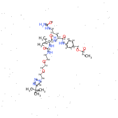 CCC(=O)OCc1ccc(NC(=O)[C@H](CCCNC(N)=O)NC(=O)[C@@H](NC(=O)NCCOCCOCCn2cc(C(C)(C)C)nn2)C(C)C)cc1